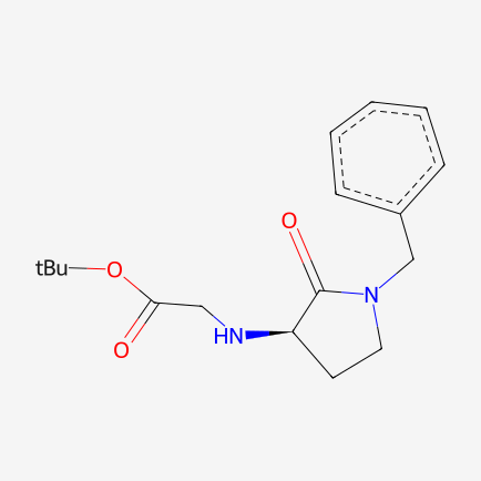 CC(C)(C)OC(=O)CN[C@@H]1CCN(Cc2ccccc2)C1=O